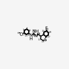 COc1cccc(NC(=N)N=NC2CCSc3ccc(F)cc32)c1